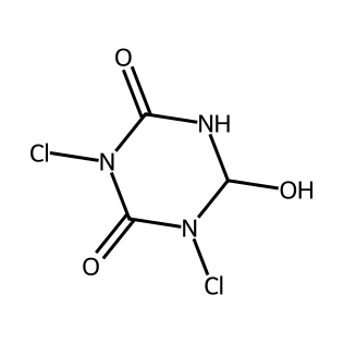 O=C1NC(O)N(Cl)C(=O)N1Cl